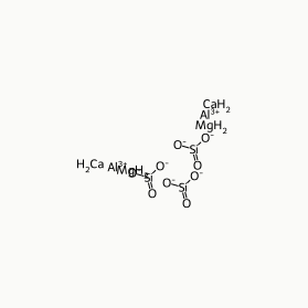 O=[Si]([O-])[O-].O=[Si]([O-])[O-].O=[Si]([O-])[O-].[Al+3].[Al+3].[CaH2].[CaH2].[MgH2].[MgH2]